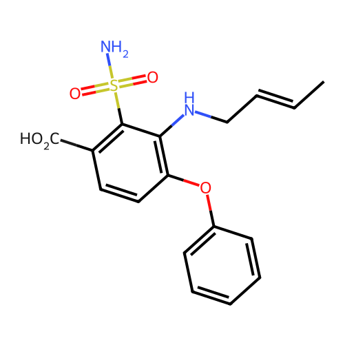 CC=CCNc1c(Oc2ccccc2)ccc(C(=O)O)c1S(N)(=O)=O